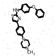 CN1CCN(c2ccc(-c3csc(Nc4ccc(Oc5ccccc5)cc4)n3)cc2)CC1